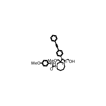 COCC12CN(C(=O)Nc3ccc(OC)cc3)CCCCN1[C@H](CO)[C@@H]2c1ccc(C#Cc2ccccc2)cc1